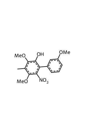 COc1cccc(-c2c(O)c(OC)c(C)c(OC)c2[N+](=O)[O-])c1